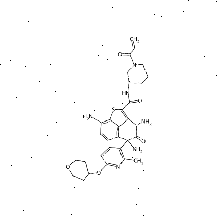 C=CC(=O)N1CCCC(NC(=O)c2sc3c(N)ccc4c3c2C(N)C(=O)C4(N)c2ccc(OC3CCOCC3)nc2C)C1